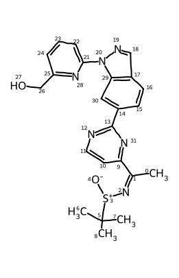 C/C(=N/[S+]([O-])C(C)(C)C)c1ccnc(-c2ccc3cnn(-c4cccc(CO)n4)c3c2)n1